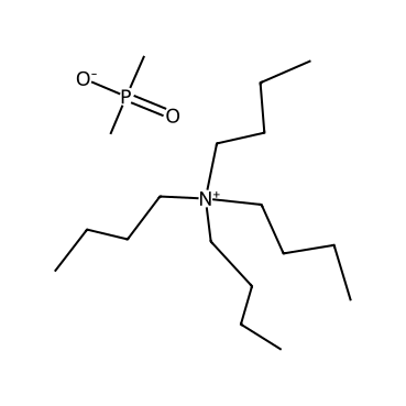 CCCC[N+](CCCC)(CCCC)CCCC.CP(C)(=O)[O-]